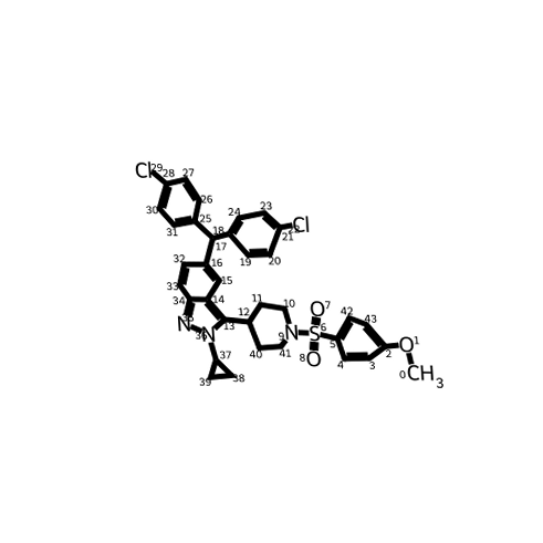 COc1ccc(S(=O)(=O)N2CCC(c3c4cc(C(c5ccc(Cl)cc5)c5ccc(Cl)cc5)ccc4nn3C3CC3)CC2)cc1